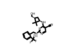 CC1(C)[C@@H](CO)C[C@H]1Nc1nc(NCc2ccccc2C(F)(F)F)ncc1C#N